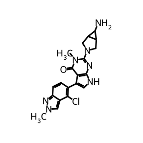 Cn1cc2c(Cl)c(-c3c[nH]c4nc(N5CC6C(N)C6C5)n(C)c(=O)c34)ccc2n1